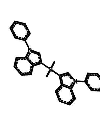 C[Si](C)(c1cn(-c2ccccc2)c2ccccc12)c1cn(-c2ccccc2)c2ccccc12